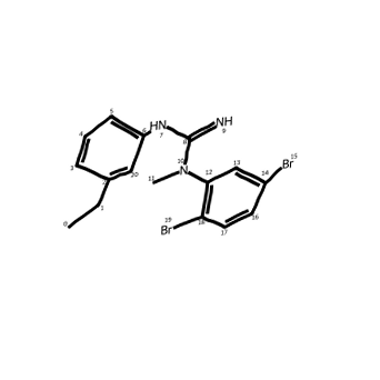 CCc1cccc(NC(=N)N(C)c2cc(Br)ccc2Br)c1